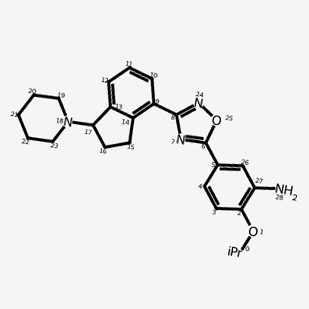 CC(C)Oc1ccc(-c2nc(-c3cccc4c3CCC4N3CCCCC3)no2)cc1N